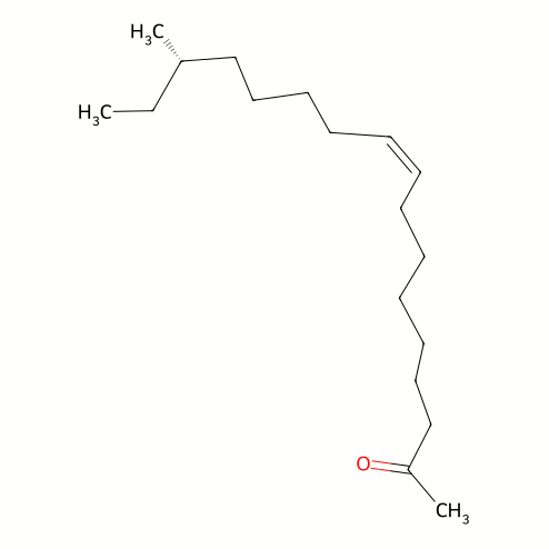 CC[C@H](C)CCCC/C=C\CCCCCCC(C)=O